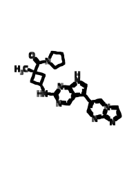 C[C@]1(C(=O)N2CCCC2)C[C@H](Nc2ncc3c(-c4cnc5nccn5c4)c[nH]c3n2)C1